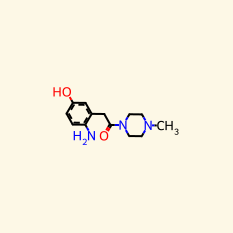 CN1CCN(C(=O)Cc2cc(O)ccc2N)CC1